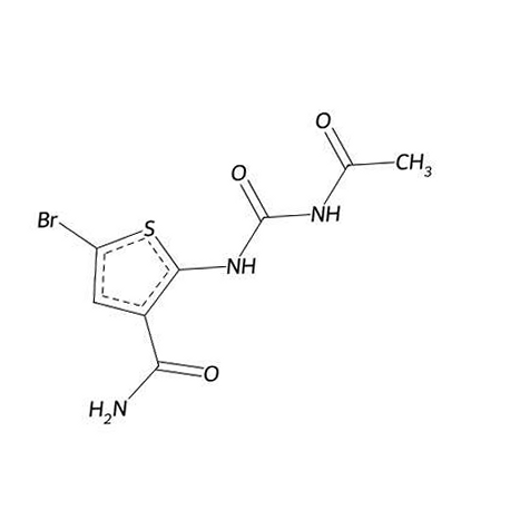 CC(=O)NC(=O)Nc1sc(Br)cc1C(N)=O